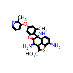 Cc1cc(Oc2cccnc2C)ccc1C1(N)C(=O)C(N)c2c(C(=O)O)sc3c(N)ccc1c23